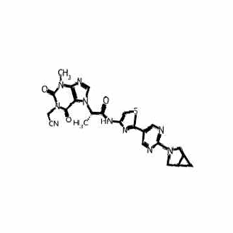 C[C@@H](C(=O)Nc1csc(-c2cnc(N3CC4CC4C3)nc2)n1)n1cnc2c1c(=O)n(CC#N)c(=O)n2C